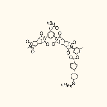 CCCCCCOC1CCC(c2ccc(C(=O)Oc3cc(C)cc(N4C(=O)C5CC(C4=O)C4C6CC(C(=O)N(c7cc(OC(=O)CCCC)cc(N8C(=O)C9CC(C8=O)C8C%10CC(C(=O)N(C)C%10=O)C98)c7)C6=O)C54)c3)cc2)CC1